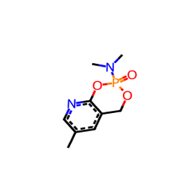 Cc1cnc2c(c1)COP(=O)(N(C)C)O2